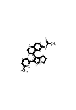 CC(=O)Oc1ccc2nccc(-c3c(-c4cccc(C)n4)nn4c3CCC4)c2c1